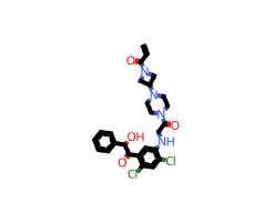 C=CC(=O)N1CC(N2CCN(C(=O)CNc3cc(C(=O)C(O)c4ccccc4)c(Cl)cc3Cl)CC2)C1